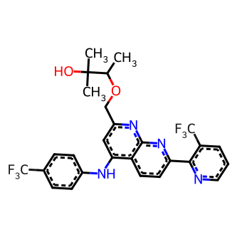 CC(OCc1cc(Nc2ccc(C(F)(F)F)cc2)c2ccc(-c3ncccc3C(F)(F)F)nc2n1)C(C)(C)O